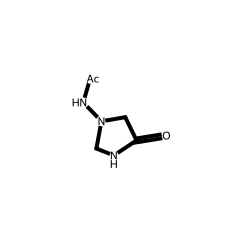 CC(=O)NN1CNC(=O)C1